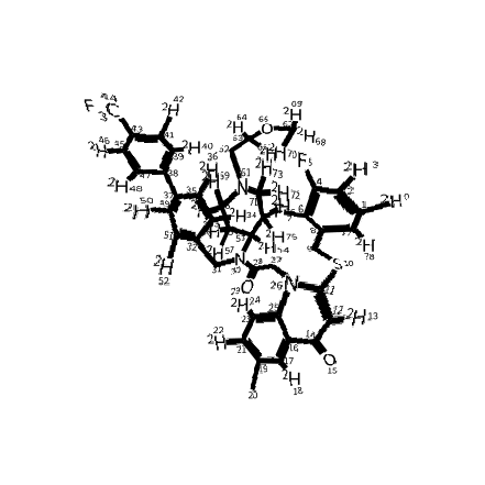 [2H]c1c([2H])c(F)c(F)c(CSc2c([2H])c(=O)c3c([2H])c(C)c([2H])c([2H])c3n2CC(=O)N(Cc2c([2H])c([2H])c(-c3c([2H])c([2H])c(C(F)(F)F)c([2H])c3[2H])c([2H])c2[2H])C2([2H])C([2H])([2H])C([2H])([2H])N(CC([2H])([2H])OC([2H])([2H])[2H])C([2H])([2H])C2([2H])[2H])c1[2H]